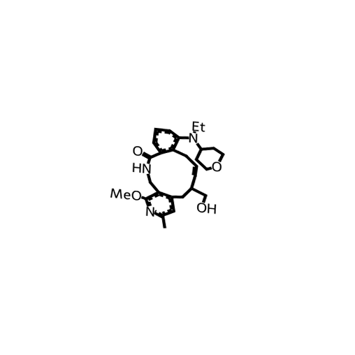 CCN(c1cccc2c1C/C=C\C(CO)Cc1cc(C)nc(OC)c1CNC2=O)C1CCOCC1